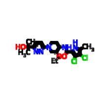 CCO[C@H]1CN(c2ccc(C(C)(C)O)nn2)CC[C@H]1NC(=O)c1[nH]c(C)c(Cl)c1Cl